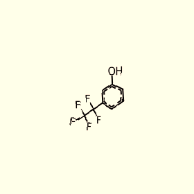 Oc1cccc(C(F)(F)C(F)(F)F)c1